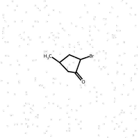 CC1CC(=O)C(Br)C1